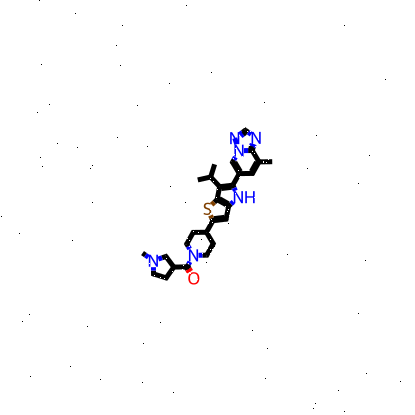 Cc1cc(-c2[nH]c3cc(C4CCN(C(=O)C5CCN(C)C5)CC4)sc3c2C(C)C)cn2ncnc12